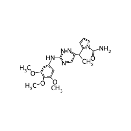 COc1cc(Nc2ncc(C(C)c3cccn3C(N)=O)nn2)cc(OC)c1OC